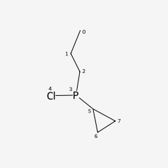 CCCP(Cl)C1CC1